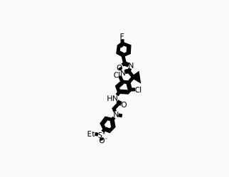 CC[S+]([O-])c1ccc(N(C)CC(=O)Nc2cc(Cl)c(C3(c4noc(-c5ccc(F)cc5)n4)CC3)c(Cl)c2)cc1